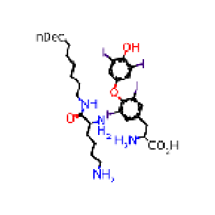 CCCCCCCCCCCCCCCCNC(=O)[C@@H](N)CCCCN.N[C@@H](Cc1cc(I)c(Oc2cc(I)c(O)c(I)c2)c(I)c1)C(=O)O